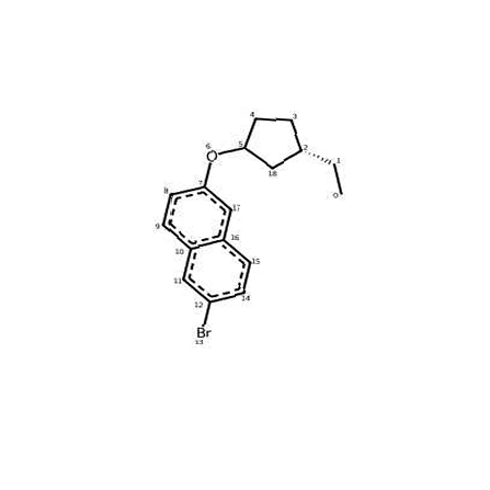 CC[C@H]1CCC(Oc2ccc3cc(Br)ccc3c2)C1